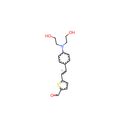 O=Cc1ccc(/C=C/c2ccc(N(CCO)CCO)cc2)s1